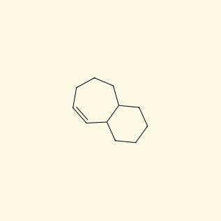 C1=CC2CCCCC2CCC1